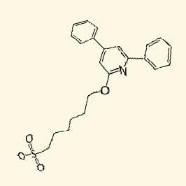 [O]S(=O)(=O)CCCCCCOc1cc(-c2ccccc2)cc(-c2ccccc2)n1